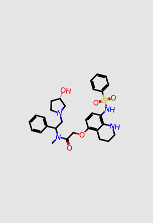 CN(C(=O)COc1ccc(NS(=O)(=O)c2ccccc2)c2c1CCCN2)C(CN1CC[C@H](O)C1)c1ccccc1